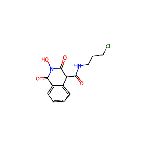 O=C(NCCCCl)C1C(=O)N(O)C(=O)c2ccccc21